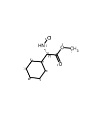 COC(=O)[C@@H](NCl)C1CCCCC1